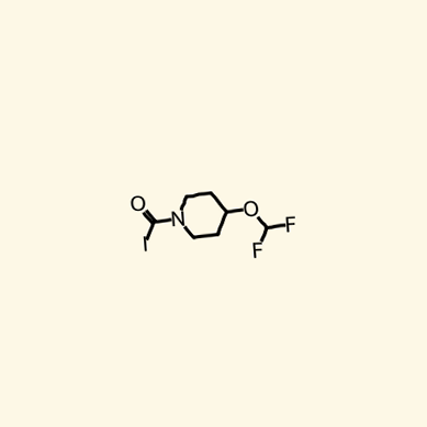 O=C(I)N1CCC(OC(F)F)CC1